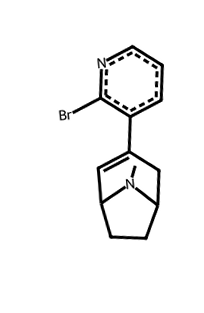 CN1C2C=C(c3cccnc3Br)CC1CC2